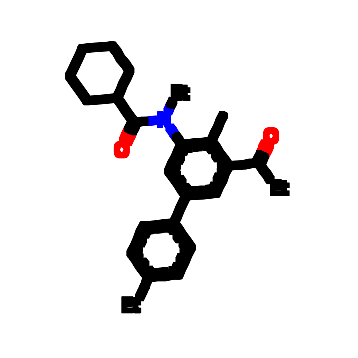 CCC(=O)c1cc(-c2ccc(CC)cc2)cc(N(CC)C(=O)C2CCCCC2)c1C